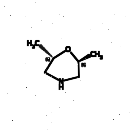 C[C@H]1CNC[C@H](C)O1